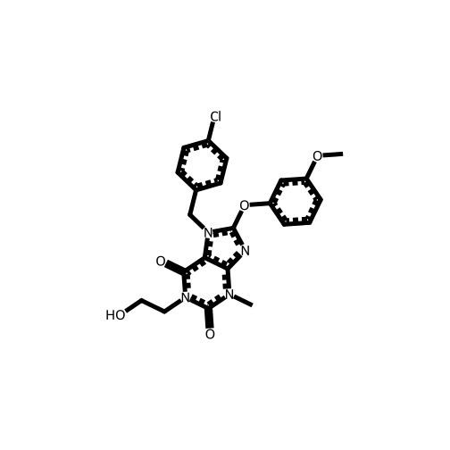 COc1cccc(Oc2nc3c(c(=O)n(CCO)c(=O)n3C)n2Cc2ccc(Cl)cc2)c1